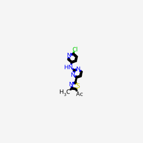 CC(=O)c1sc(-c2ccnc(Nc3ccc(Cl)nc3)n2)nc1C